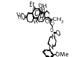 CC[C@@H]1C2C[C@H](O)CCC2(C)[C@H]2CCC3(C)[C@@H]([C@H](C)CCOC(=O)N4CCN(c5ccccc5OC)CC4)CC[C@H]3[C@H]2[C@@H]1O